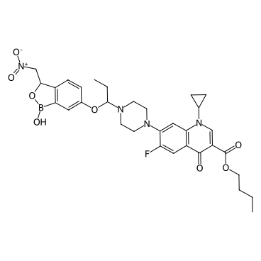 CCCCOC(=O)c1cn(C2CC2)c2cc(N3CCN(C(CC)Oc4ccc5c(c4)B(O)OC5C[N+](=O)[O-])CC3)c(F)cc2c1=O